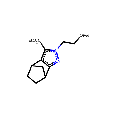 CCOC(=O)c1c2c(nn1CCOC)C1CCC2C1